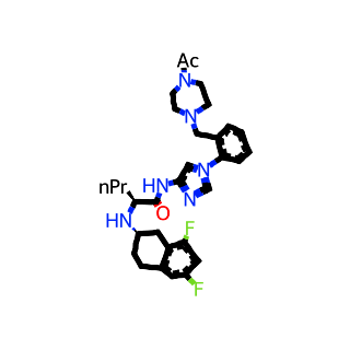 CCC[C@H](N[C@H]1CCc2cc(F)cc(F)c2C1)C(=O)Nc1cn(-c2ccccc2CN2CCN(C(C)=O)CC2)cn1